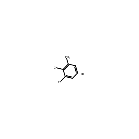 Pc1cccc(Cl)c1Cl.[KH]